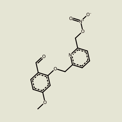 COc1ccc(C=O)c(OCc2cccc(CO[N+](=O)[O-])n2)c1